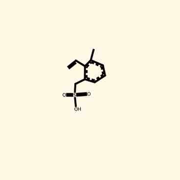 C=Cc1c(C)cccc1CS(=O)(=O)O